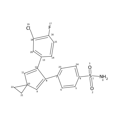 NS(=O)(=O)c1ccc(C2=CC3(C=C2c2ccc(F)c(Cl)c2)CC3)cc1